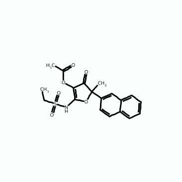 CCS(=O)(=O)NC1=C(OC(C)=O)C(=O)C(C)(c2ccc3ccccc3c2)O1